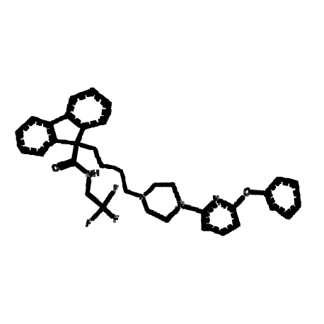 O=C(NCC(F)(F)F)C1(CCCCN2CCN(c3cccc(Oc4ccccc4)n3)CC2)c2ccccc2-c2ccccc21